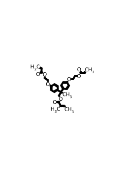 C=CC(=O)OCCOc1ccc(C(C)(COC(=O)C(C)=CC)c2ccc(OCCOC(=O)C=C)cc2)cc1